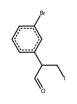 O=CC(CI)c1cccc(Br)c1